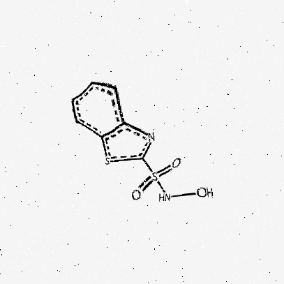 O=S(=O)(NO)c1nc2ccccc2s1